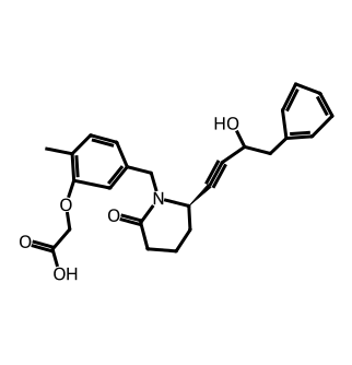 Cc1ccc(CN2C(=O)CCC[C@@H]2C#CC(O)Cc2ccccc2)cc1OCC(=O)O